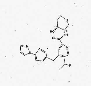 O=C(N[C@H]1COCC[C@@H]1O)c1cc(Cc2ccc(-n3cccn3)cc2)c(C(F)F)cn1